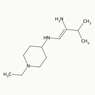 CCN1CCC(N/C=C(\N)C(C)C)CC1